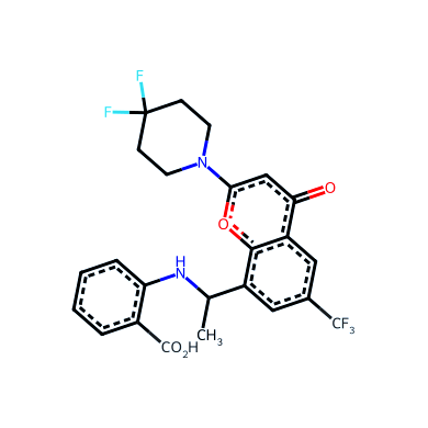 CC(Nc1ccccc1C(=O)O)c1cc(C(F)(F)F)cc2c(=O)cc(N3CCC(F)(F)CC3)oc12